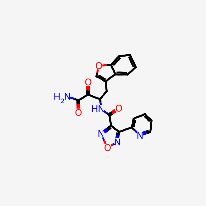 NC(=O)C(=O)C(Cc1coc2ccccc12)NC(=O)c1nonc1-c1ccccn1